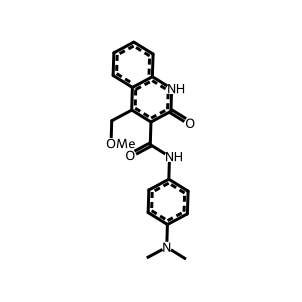 COCc1c(C(=O)Nc2ccc(N(C)C)cc2)c(=O)[nH]c2ccccc12